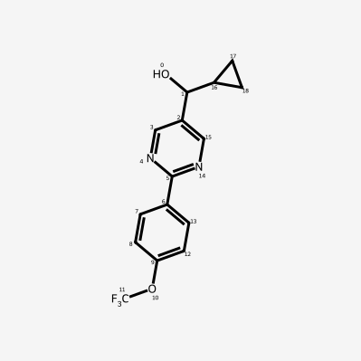 OC(c1cnc(-c2ccc(OC(F)(F)F)cc2)nc1)C1CC1